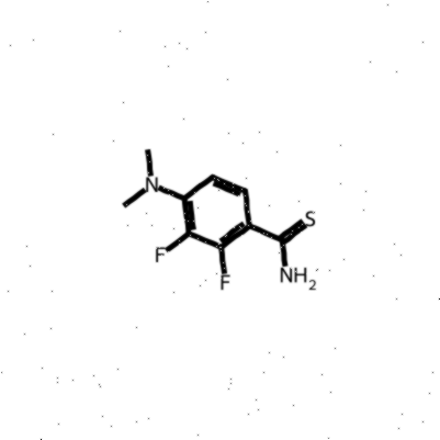 CN(C)c1ccc(C(N)=S)c(F)c1F